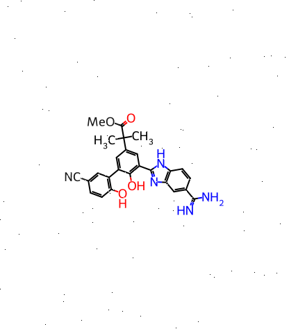 COC(=O)C(C)(C)c1cc(-c2nc3cc(C(=N)N)ccc3[nH]2)c(O)c(-c2cc(C#N)ccc2O)c1